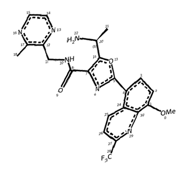 COc1ccc(-c2nc(C(=O)NCc3nccnc3C)c([C@H](C)N)o2)c2ccc(C(F)(F)F)nc12